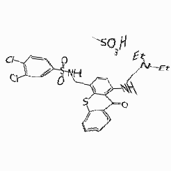 CCN(CC)CCNc1ccc(CNS(=O)(=O)c2ccc(Cl)c(Cl)c2)c2sc3ccccc3c(=O)c12.CS(=O)(=O)O